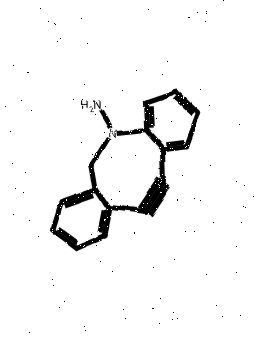 NN1Cc2ccccc2C#Cc2ccccc21